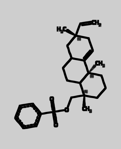 C=C[C@]1(C)CC=C2C(CCC3[C@@](C)(COS(=O)(=O)c4ccccc4)CCC[C@]23C)C1